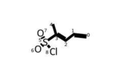 C=C/C=C(\C)S(=O)(=O)Cl